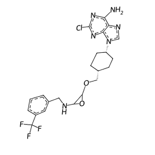 Nc1nc(Cl)nc2c1ncn2[C@H]1CC[C@@H](COC2OC2NCc2cccc(C(F)(F)F)c2)CC1